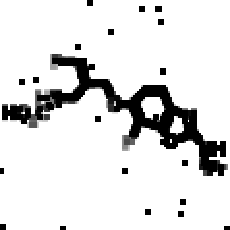 CCCNc1nc2ccc(OC/C(=C/F)CNC(=O)O)c(F)c2o1